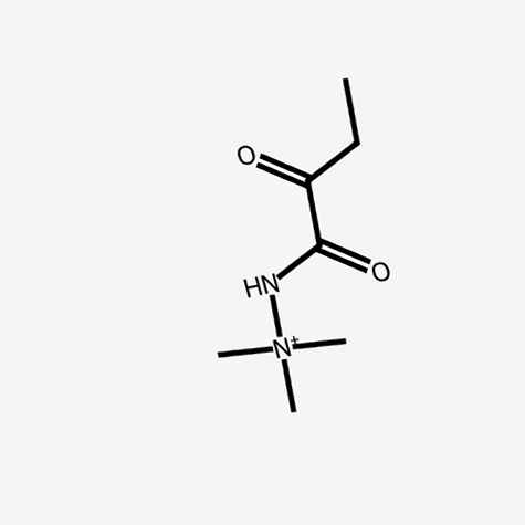 CCC(=O)C(=O)N[N+](C)(C)C